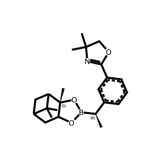 C[C@@H](B1OC2CC3CC(C3(C)C)[C@]2(C)O1)c1cccc(C2=NC(C)(C)CO2)c1